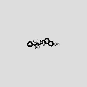 Oc1ccc2c(c1)CCc1nc(-c3onc(-c4ccccc4)c3C(F)(F)F)sc1-2